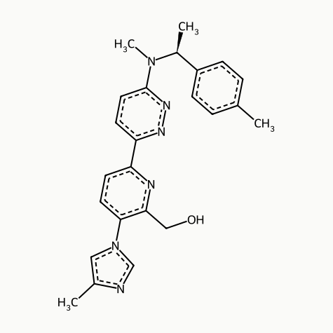 Cc1ccc([C@H](C)N(C)c2ccc(-c3ccc(-n4cnc(C)c4)c(CO)n3)nn2)cc1